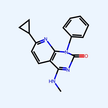 CNc1nc(=O)n(-c2ccccc2)c2nc(C3CC3)ccc12